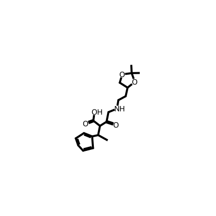 CC(c1ccccc1)C(C(=O)O)C(=O)CNCCC1COC(C)(C)O1